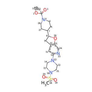 CC(C)(C)OC(=O)N1CCC(C2Cc3cc(N4CCN(S(C)(=O)=O)CC4)ncc3O2)CC1